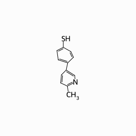 Cc1ccc(-c2ccc(S)cc2)cn1